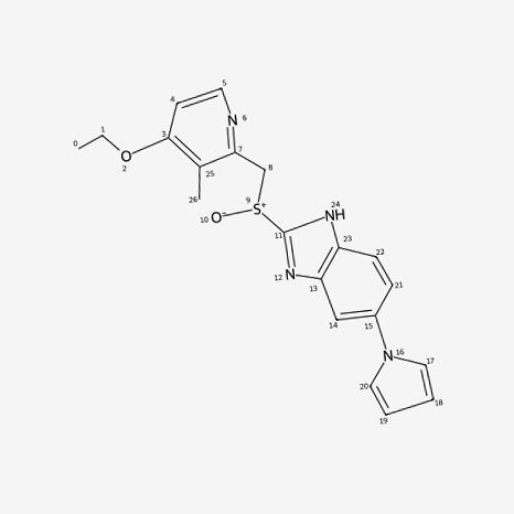 CCOc1ccnc(C[S+]([O-])c2nc3cc(-n4cccc4)ccc3[nH]2)c1C